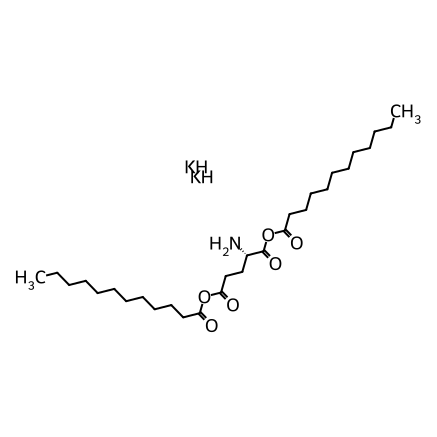 CCCCCCCCCCCC(=O)OC(=O)CC[C@H](N)C(=O)OC(=O)CCCCCCCCCCC.[KH].[KH]